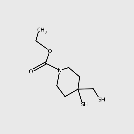 CCOC(=O)N1CCC(S)(CS)CC1